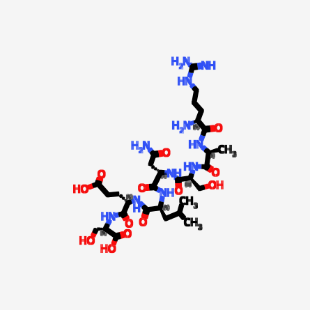 CC(C)C[C@H](NC(=O)[C@H](CC(N)=O)NC(=O)[C@H](CO)NC(=O)[C@H](C)NC(=O)[C@@H](N)CCCNC(=N)N)C(=O)N[C@@H](CCC(=O)O)C(=O)N[C@@H](CO)C(=O)O